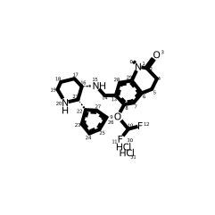 CN1C(=O)CCc2cc(OC(F)F)c(CN[C@H]3CCCN[C@H]3c3ccccc3)cc21.Cl.Cl